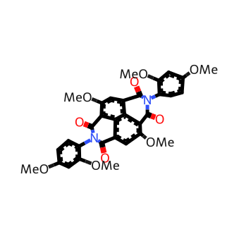 COc1ccc(N2C(=O)c3cc(OC)c4c5c(cc(OC)c(c35)C2=O)C(=O)N(c2ccc(OC)cc2OC)C4=O)c(OC)c1